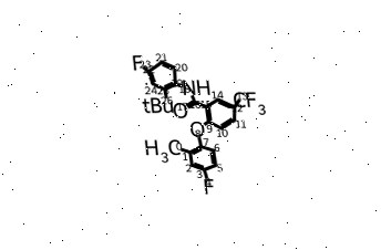 Cc1cc(F)ccc1Oc1ccc(C(F)(F)F)cc1C(=O)Nc1ccc(F)[c]c1C(C)(C)C